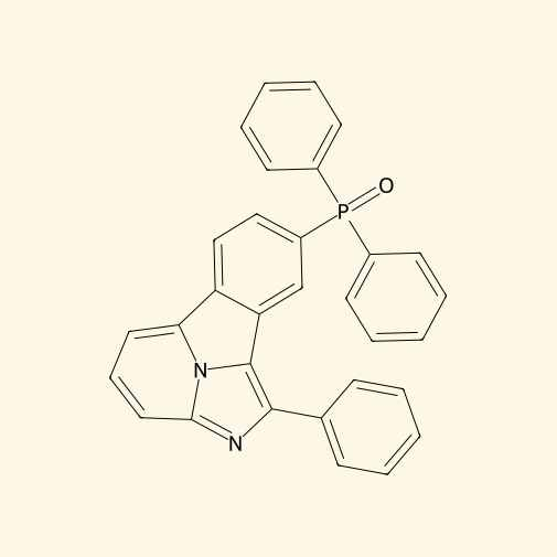 O=P(c1ccccc1)(c1ccccc1)c1ccc2c(c1)c1c(-c3ccccc3)nc3cccc2n31